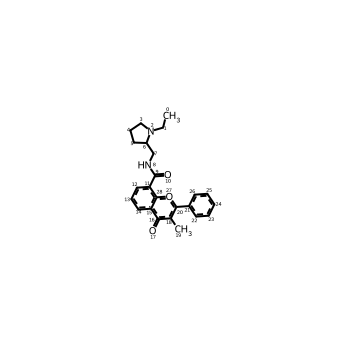 CCN1CCCC1CNC(=O)c1cccc2c(=O)c(C)c(-c3ccccc3)oc12